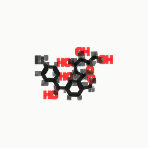 CCc1ccc(C(O)c2ccc3c(c2)[C@]2(OC3)O[C@H](CO)[C@@H](O)[C@H](O)[C@H]2O)cc1